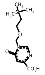 C[Si](C)(C)CCOCn1cnc(C(=O)O)cc1=O